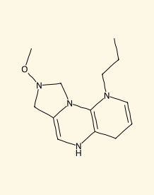 CCCN1C=CCC2=C1N1CN(OC)CC1=CN2